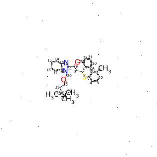 Cc1cccc(SCCC(=O)c2nc3ccccc3n2COCC[Si](C)(C)C)c1-c1ccccc1